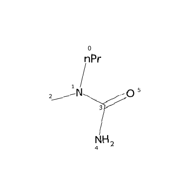 C[CH]CN(C)C(N)=O